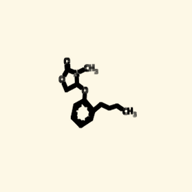 CCCCc1ccccc1OC1COC(=O)N1C